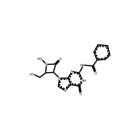 O=C(Nc1nc2c(ncn2C2C(=O)N(O)C2CO)c(=O)[nH]1)c1ccccc1